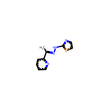 C/C(=N\Nc1nccs1)c1ccccn1